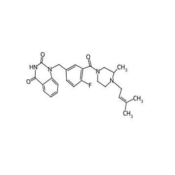 CC(C)=CCN1CCN(C(=O)c2cc(Cn3c(=O)[nH]c(=O)c4ccccc43)ccc2F)CC1C